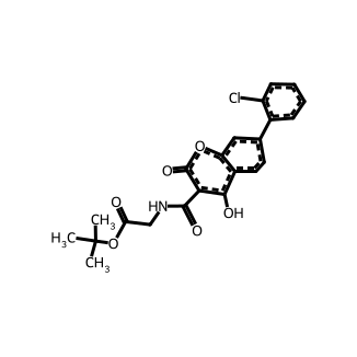 CC(C)(C)OC(=O)CNC(=O)c1c(O)c2ccc(-c3ccccc3Cl)cc2oc1=O